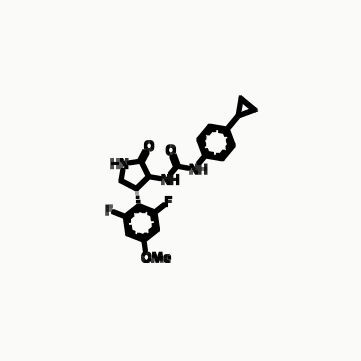 COc1cc(F)c([C@@H]2CNC(=O)C2NC(=O)Nc2ccc(C3CC3)cc2)c(F)c1